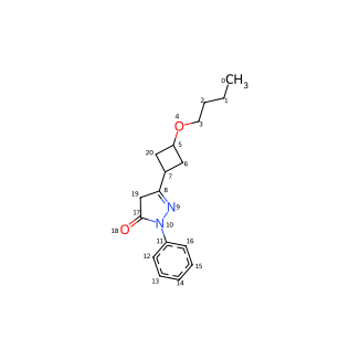 CCCCOC1CC(C2=NN(c3ccccc3)C(=O)C2)C1